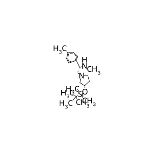 CN[C@H](CN1CC[C@H](O[Si](C)(C)C(C)(C)C)C1)c1ccc(C)cc1